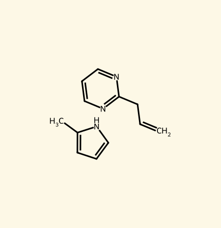 C=CCc1ncccn1.Cc1ccc[nH]1